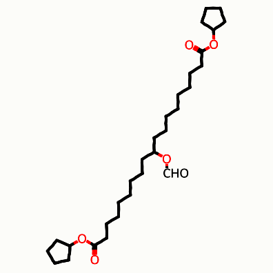 O=COC(CCCCCCCCC(=O)OC1CCCC1)CCCCCCCCC(=O)OC1CCCC1